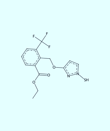 CCOC(=O)c1cccc(C(F)(F)F)c1COc1ccn(S)n1